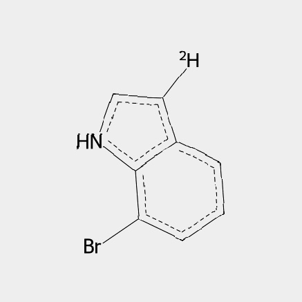 [2H]c1c[nH]c2c(Br)cccc12